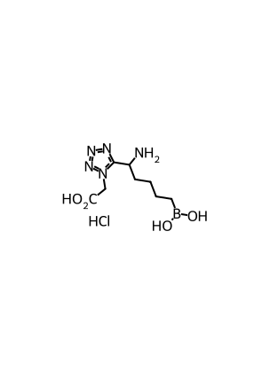 Cl.NC(CCCCB(O)O)c1nnnn1CC(=O)O